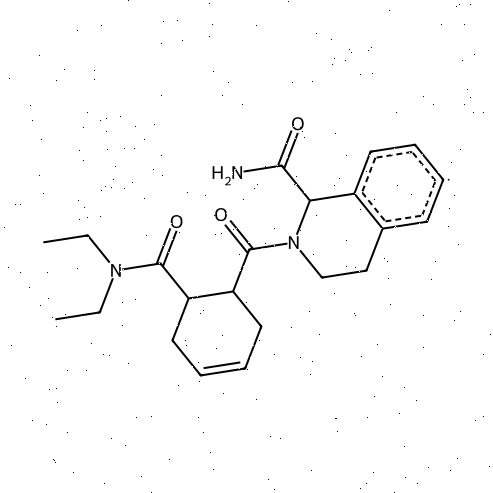 CCN(CC)C(=O)C1CC=CCC1C(=O)N1CCc2c[c]ccc2C1C(N)=O